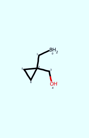 BCC1(CO)CC1